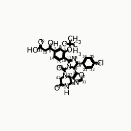 CC(C)(C)Oc1cc(C(=O)CC(=O)O)ccc1C1=N[C@@H](c2ccc(Cl)cc2)[C@@H](c2cnco2)N1C(=O)N1CCNC(=O)C1